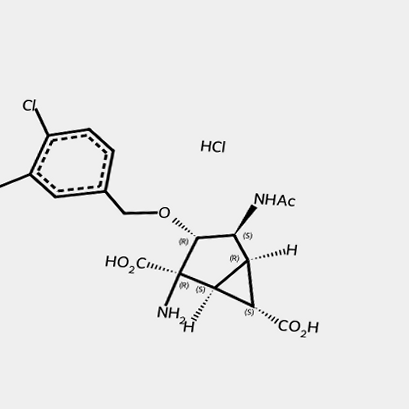 CC(=O)N[C@H]1[C@H]2[C@H](C(=O)O)[C@H]2[C@](N)(C(=O)O)[C@@H]1OCc1ccc(Cl)c(Cl)c1.Cl